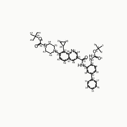 CC(C)(C)OC(=O)Nc1ccc(-c2ccccc2)cc1NC(=O)c1cnc2c(C3CC3)c(N3CCN(C(=O)OC(C)(C)C)CC3)ccc2c1